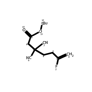 C=C(F)CCC(C#N)(C#N)CC(=O)OC(C)(C)C